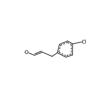 [O]C=CCc1ccc(Cl)cc1